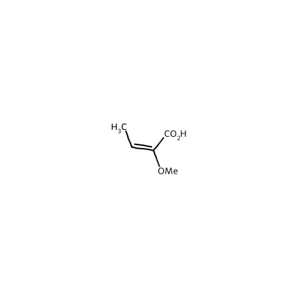 CC=C(OC)C(=O)O